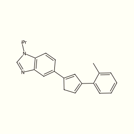 Cc1ccccc1C1=CCC(c2ccc3c(c2)ncn3C(C)C)=C1